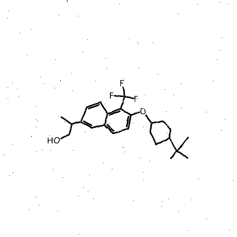 CC(CO)c1ccc2c(C(F)(F)F)c(OC3CCC(C(C)(C)C)CC3)ccc2c1